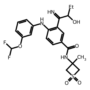 CCC(O)C(=N)c1cc(C(=O)NC2(C)CS(=O)(=O)C2)ccc1Nc1cccc(OC(F)F)c1